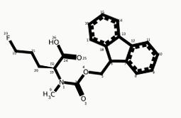 CN(C(=O)OCC1c2ccccc2-c2ccccc21)[C@@H](CCCF)C(=O)O